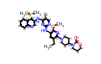 CCc1cc(Nc2ncc(Br)c(Nc3cnc4ccccc4c3P(C)C)n2)c(OC)nc1N1CCC(N2CCCOC2=O)CC1